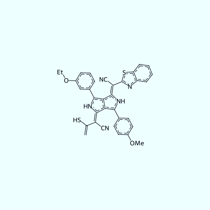 C=C(S)/C(C#N)=c1\[nH]c(-c2cccc(OCC)c2)c2/c(=C(\C#N)c3nc4ccccc4s3)[nH]c(-c3ccc(OC)cc3)c12